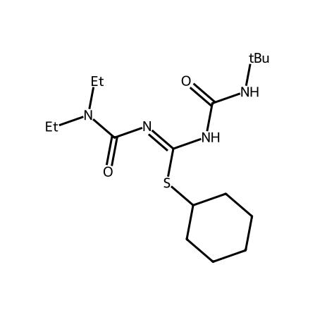 CCN(CC)C(=O)N=C(NC(=O)NC(C)(C)C)SC1CCCCC1